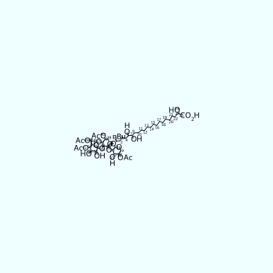 CCCCC(CCCC(O)C(O)CCCCCCCCCCCCCCC(O)C(=O)O)OC1OCC(OC(C)=O)C(O)C1OC1OCC(OC(C)=O)C(O)C1OC1OC(COC(C)=O)C(OC(C)=O)C(O)C1O